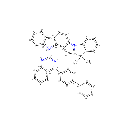 CC1(C)c2ccccc2-n2c1cc1c2ccc2c3ccccc3n(-c3nc(-c4ccc(-c5ccccc5)cc4)c4ccccc4n3)c21